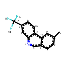 Cc1ccc2cnc3cc(C(F)(F)F)ccc3c2c1